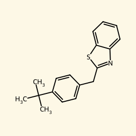 CC(C)(C)c1ccc(Cc2nc3ccccc3s2)cc1